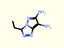 CCC1N=Nc2c(N)c(N)nn21